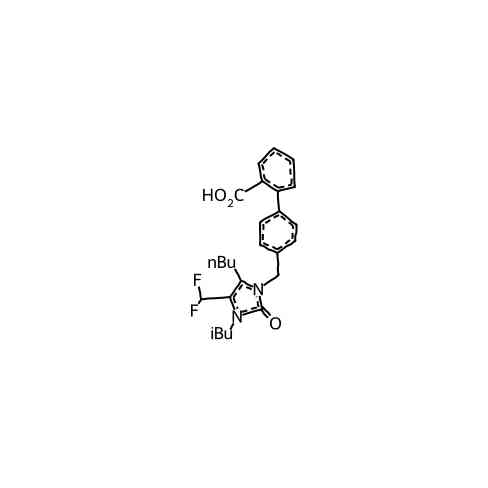 CCCCc1c(C(F)F)n(C(C)CC)c(=O)n1Cc1ccc(-c2ccccc2C(=O)O)cc1